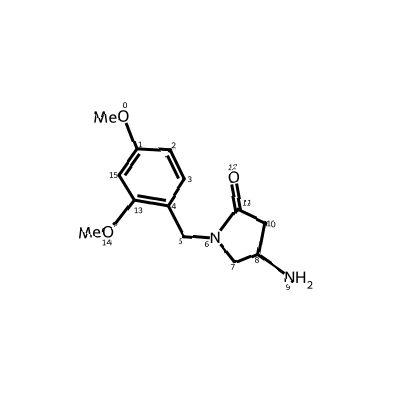 COc1ccc(CN2CC(N)CC2=O)c(OC)c1